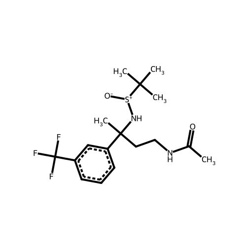 CC(=O)NCCC(C)(N[S+]([O-])C(C)(C)C)c1cccc(C(F)(F)F)c1